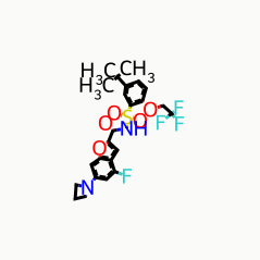 CC(C)(C)c1ccc(OCC(F)(F)F)c(S(=O)(=O)NC(=O)c2cc3c(F)cc(N4CCC4)cc3o2)c1